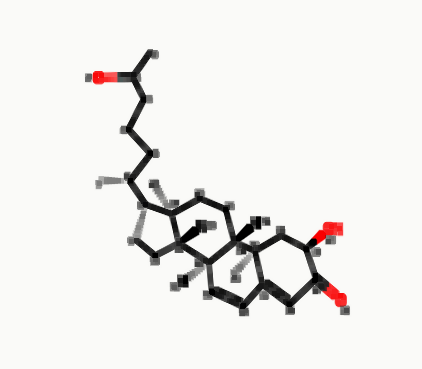 CC(=O)CCC[C@@H](C)[C@H]1CC[C@H]2[C@@H]3C=CC4=CC(=O)[C@H](O)C[C@]4(C)[C@H]3CC[C@]12C